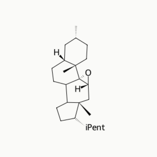 CCC[C@@H](C)C1CCC2C3CC[C@@H]4C[C@H](C)CC[C@]4(C)[C@]34O[C@@H]4C[C@@]21C